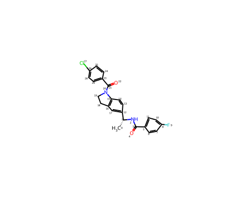 C[C@@H](NC(=O)c1ccc(F)cc1)c1ccc2c(c1)CCN2C(=O)c1ccc(Cl)cc1